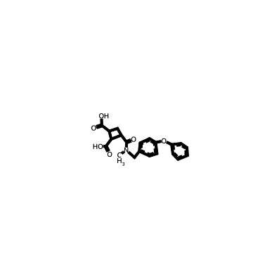 CN(Cc1ccc(Oc2ccccc2)cc1)C(=O)C1CC(C(=O)O)C1C(=O)O